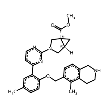 COC(=O)[C@]12C[C@H]1CN(c1nccc(-c3cc(C)ccc3OCc3ccc4c(c3C)CCNC4)n1)C2